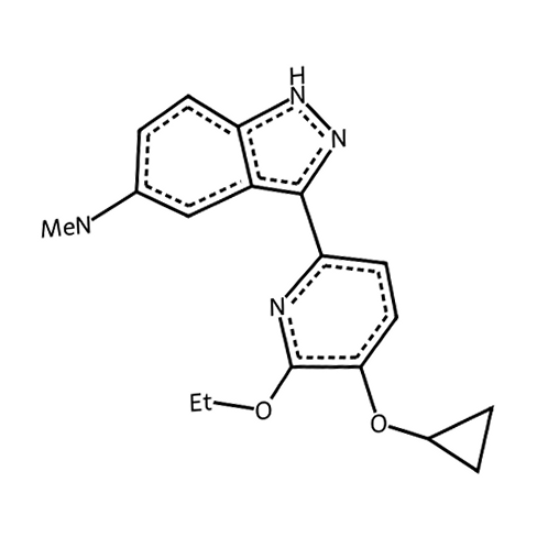 CCOc1nc(-c2n[nH]c3ccc(NC)cc23)ccc1OC1CC1